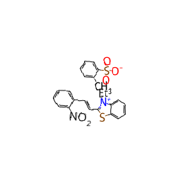 CC[n+]1c(/C=C/c2ccccc2[N+](=O)[O-])sc2ccccc21.Cc1ccccc1S(=O)(=O)[O-]